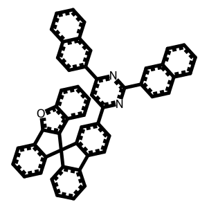 c1ccc2c(c1)-c1ccc(-c3cc(-c4ccc5ccccc5c4)nc(-c4ccc5ccccc5c4)n3)cc1C21c2ccccc2-c2oc3ccccc3c21